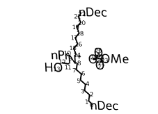 CCCCCCCCCCCCCCCCCC[N+](CCC)(CCO)CCCCCCCCCCCCCCCCCC.COS(=O)(=O)[O-]